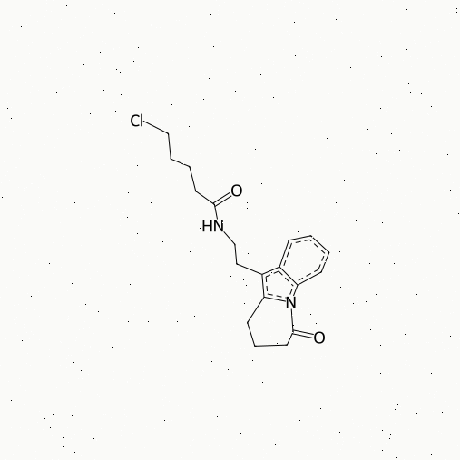 O=C(CCCCCl)NCCc1c2n(c3ccccc13)C(=O)CCC2